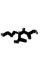 [2H]COC[C@H](NC(C)=O)C(=O)O